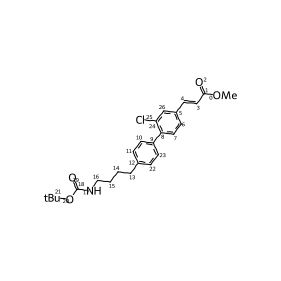 COC(=O)/C=C/c1ccc(-c2ccc(CCCCNC(=O)OC(C)(C)C)cc2)c(Cl)c1